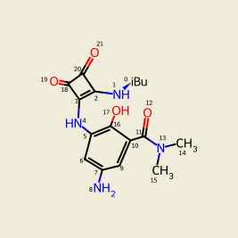 CC[C@H](C)Nc1c(Nc2cc(N)cc(C(=O)N(C)C)c2O)c(=O)c1=O